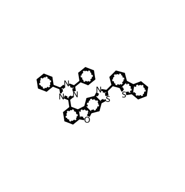 c1ccc(-c2nc(-c3ccccc3)nc(-c3cccc4oc5cc6sc(-c7cccc8c7sc7ccccc78)nc6cc5c34)n2)cc1